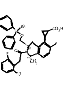 C[C@H]1c2ccc(F)c(C3CC3C(=O)O)c2C[C@H](CO[Si](c2ccccc2)(c2ccccc2)C(C)(C)C)N1C(=O)Cc1c(F)cccc1Cl